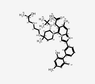 Cc1cc(O)c(-c2cccc(-c3cn4c(N5CCC(C)(OCCOC[C@@H](C)O)CC5)c([C@H](OC(C)(C)C)C(=O)O)c(C)cc4n3)c2)c(F)c1